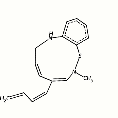 C=C\C=C/C1=C/N(C)Sc2ccccc2NC/C=C\1